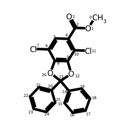 COC(=O)c1cc(Cl)c2c(c1Cl)OC(c1ccccc1)(c1ccccc1)O2